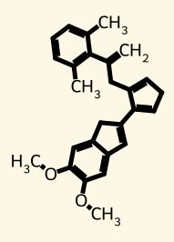 C=C(CC1=CCC=C1C1=Cc2cc(OC)c(OC)cc2C1)c1c(C)cccc1C